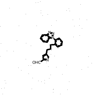 O=CC1=NCC(CCCc2ccccc2-n2nnc3ccccc32)=C1